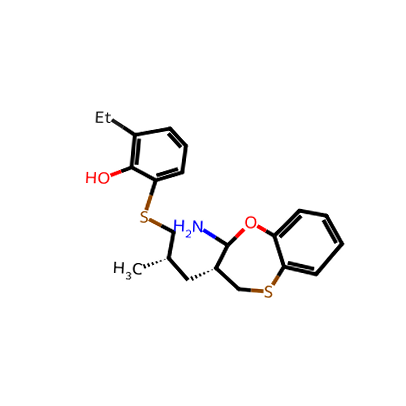 CCc1cccc(SC[C@@H](C)C[C@H]2CSc3ccccc3OC2N)c1O